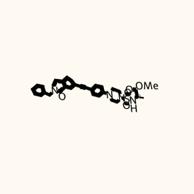 COC(=O)[C@@H](C)NS(=O)(=O)N1CCN(c2ccc(C#Cc3ccc4ccn(Cc5ccccc5)c(=O)c4c3)cc2)CC1